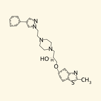 Cc1nc2cc(OC[C@H](O)CN3CCN(CCn4cc(-c5ccccc5)cn4)CC3)ccc2s1